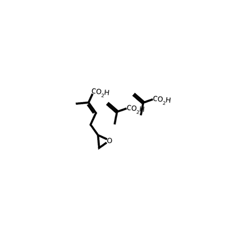 C=C(C)C(=O)O.C=C(C)C(=O)O.CC(=CCC1CO1)C(=O)O